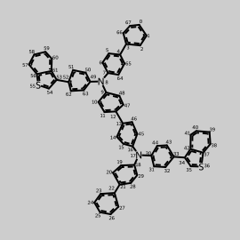 c1ccc(-c2ccc(N(c3ccc(-c4ccc(N(c5ccc(-c6ccccc6)cc5)c5ccc(-c6csc7ccccc67)cc5)cc4)cc3)c3ccc(-c4csc5ccccc45)cc3)cc2)cc1